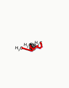 CCCCC/C=C\C/C=C\C/C=C\C/C=C\CCCC(=O)O[C@H](CO/C=C\CCCCCCCCCCCCCC)COP(=O)([O-])OCC[N+](C)(C)C